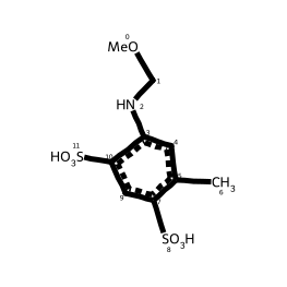 COCNc1cc(C)c(S(=O)(=O)O)cc1S(=O)(=O)O